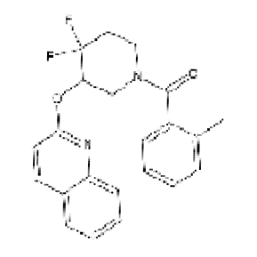 Cc1ccccc1C(=O)N1CCC(F)(F)C(Oc2ccc3ccccc3n2)C1